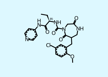 CC[C@@H](NC(=O)N1CC(=O)NCC(Cc2cc(Cl)ccc2OC)C1=O)C(=O)Nc1ccncc1